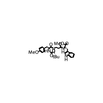 COC(=O)[C@H](Cc1c[nH]c2ccccc12)NC(=O)CCNC(=O)[C@H](Cc1ccc(OC)cc1)NC(=O)OC(C)(C)C